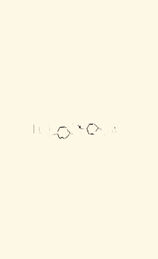 CC(=O)Oc1ccc(C(=O)Oc2ccc(CO)cc2)cc1